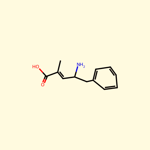 C/C(=C\C(N)Cc1ccccc1)C(=O)O